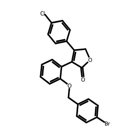 O=C1OCC(c2ccc(Cl)cc2)=C1c1ccccc1OCc1ccc(Br)cc1